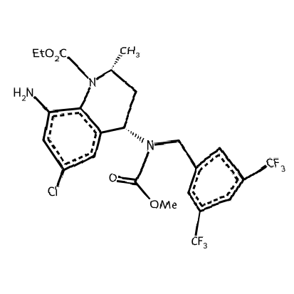 CCOC(=O)N1c2c(N)cc(Cl)cc2[C@@H](N(Cc2cc(C(F)(F)F)cc(C(F)(F)F)c2)C(=O)OC)C[C@H]1C